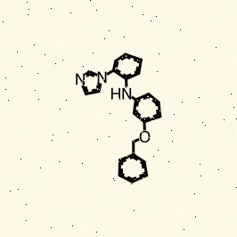 c1ccc(COc2cccc(Nc3ccccc3-n3ccnc3)c2)cc1